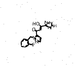 O=C(C=C(O)c1nn[nH]n1)c1ccnn1Cc1ccccc1F